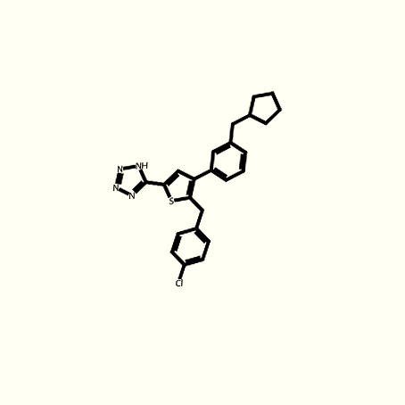 Clc1ccc(Cc2sc(-c3nnn[nH]3)cc2-c2cccc(CC3CCCC3)c2)cc1